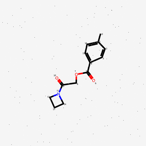 Cc1ccc(C(=O)OCC(=O)N2CCC2)cc1